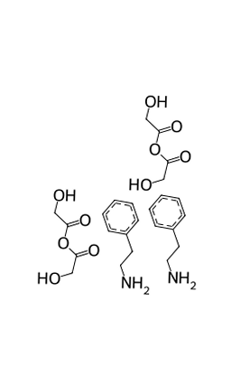 NCCc1ccccc1.NCCc1ccccc1.O=C(CO)OC(=O)CO.O=C(CO)OC(=O)CO